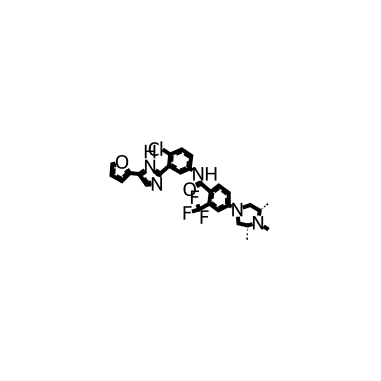 C[C@@H]1CN(c2ccc(C(=O)Nc3ccc(Cl)c(-c4ncc(-c5ccco5)[nH]4)c3)c(C(F)(F)F)c2)C[C@H](C)N1C